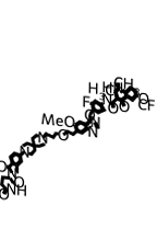 COc1cc2c(Oc3ccc(NC(=O)c4c(C)n(C)c5ccc(OC(F)(F)F)cc5c4=O)cc3F)ncnc2cc1CCOCCCN1CCC2(CC1)CCN(c1ccc3c(c1)CN(C1CCC(=O)NC1=O)C3=O)CC2